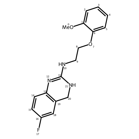 COc1ccccc1OCCNC1=Nc2ccc(F)cc2CN1